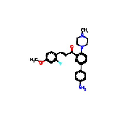 COc1ccc(C=CC(=O)c2cc(-c3ccc(N)cc3)ccc2N2CCN(C)CC2)c(F)c1